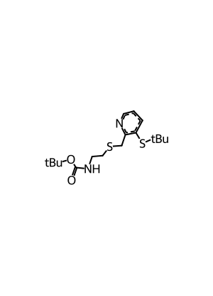 CC(C)(C)OC(=O)NCCSCc1ncccc1SC(C)(C)C